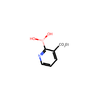 CCOC(=O)c1cccnc1B(O)O